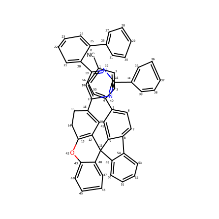 N#Cc1ccc(-c2ccc3c(c2)C2(C4=C(CCC(c5cc(-c6ccccc6-c6ccccc6)nc(-c6ccccc6)n5)=C4)Oc4ccccc42)c2ccccc2-3)cc1